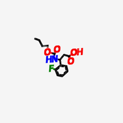 CCCCOC(=O)NC(CC(=O)O)c1ccccc1F